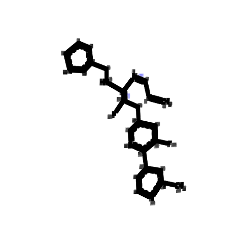 C=N/C=N\C(NCc1cccnc1)=C(\F)Cc1cnc(-c2ccnc(C)c2)c(F)c1